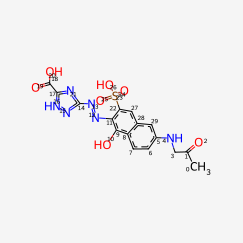 CC(=O)CNc1ccc2c(O)c(/N=N/c3n[nH]c(C(=O)O)n3)c(S(=O)(=O)O)cc2c1